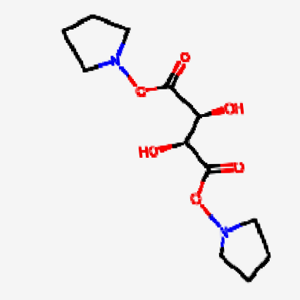 O=C(ON1CCCC1)[C@@H](O)[C@H](O)C(=O)ON1CCCC1